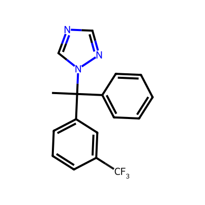 CC(c1ccccc1)(c1cccc(C(F)(F)F)c1)n1cncn1